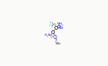 CC(C)(C)CCN1CCN(c2cc(-c3cc(OC(CF)C(F)F)c4c(N)n[nH]c4c3)ccc2C(N)=O)CC1